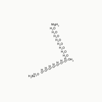 O.O.O.O.O.O.O.O.O.O.O.O.O.O.O.O.O.[BaH2].[MgH2]